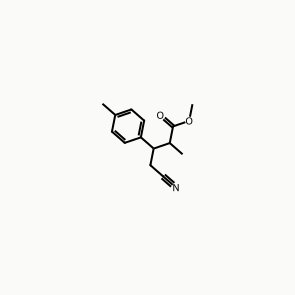 COC(=O)C(C)C(CC#N)c1ccc(C)cc1